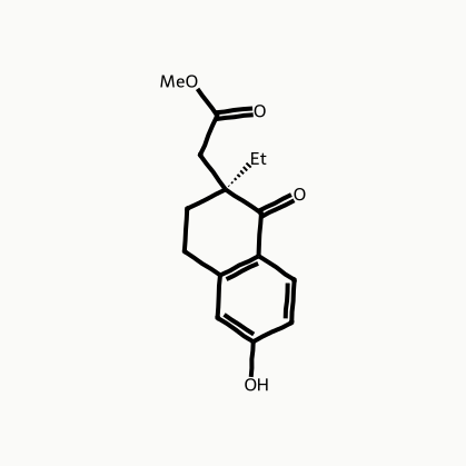 CC[C@@]1(CC(=O)OC)CCc2cc(O)ccc2C1=O